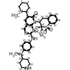 CN1CCCCC1c1cc2cnc(Nc3ccc(N(C)C4CCNCC4)cc3)nc2n(C2Cc3ccccc3S(=O)(=O)C2(C)C)c1=O